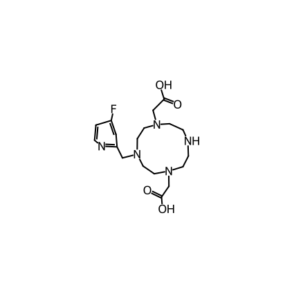 O=C(O)CN1CCNCCN(CC(=O)O)CCN(Cc2cc(F)ccn2)CC1